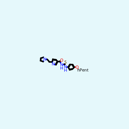 CCCCCOc1ccc(NC(=S)NC(=O)c2ccc(CCN3CCCC3)nc2)cc1